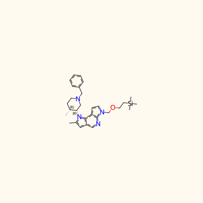 Cc1cc2cnc3c(ccn3COCC[Si](C)(C)C)c2n1[C@H]1CN(Cc2ccccc2)CC[C@H]1C